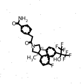 C[C@]1(c2ccc(F)cc2)CN(C(=O)Cc2ccc(C(N)=O)cc2)C[C@H]1c1ccc(C(O)(C(F)(F)F)C(F)(F)F)cc1